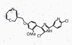 COc1cc(OC/C2=C/N=C\C=C/CC2)ccc1-c1nc(-c2ccc(Cl)nc2)[nH]c1Cl